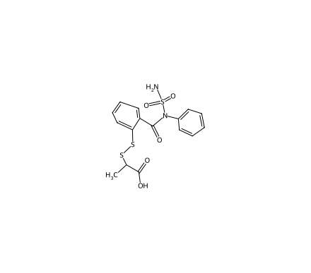 CC(SSc1ccccc1C(=O)N(c1ccccc1)S(N)(=O)=O)C(=O)O